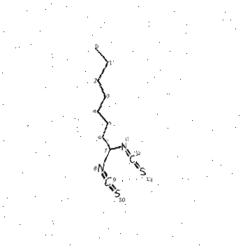 CCCCCCCC(N=C=S)N=C=S